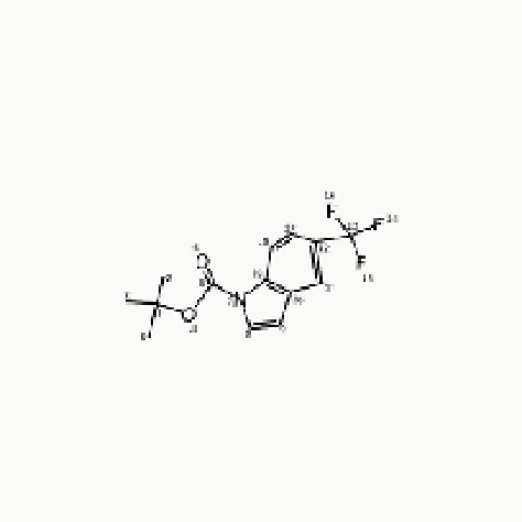 CC(C)(C)OC(=O)n1ccc2cc(C(F)(F)F)ccc21